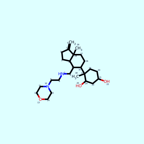 C=C1CCC2C(CNCCN3CCOCC3)C(C3(C)CCC(O)CC3O)CCC12C